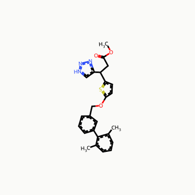 COC(=O)CC(c1c[nH]nn1)c1ccc(OCc2cccc(-c3c(C)cccc3C)c2)s1